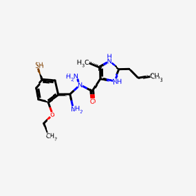 CCCC1NC(C)=C(C(=O)N(N)C(N)c2cc(S)ccc2OCC)N1